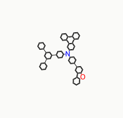 c1ccc(-c2cc(-c3ccccc3)cc(-c3ccc(N(c4ccc(-c5ccc6oc7ccccc7c6c5)cc4)c4ccc5c6ccccc6c6ccccc6c5c4)cc3)c2)cc1